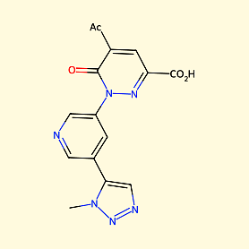 CC(=O)c1cc(C(=O)O)nn(-c2cncc(-c3cnnn3C)c2)c1=O